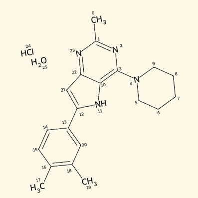 Cc1nc(N2CCCCC2)c2[nH]c(-c3ccc(C)c(C)c3)cc2n1.Cl.O